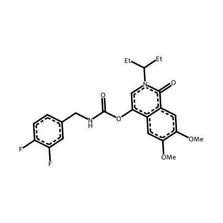 CCC(CC)n1cc(OC(=O)NCc2ccc(F)c(F)c2)c2cc(OC)c(OC)cc2c1=O